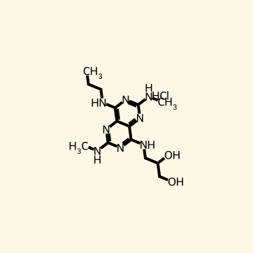 CCCNc1nc(NC)nc2c(NCC(O)CO)nc(NC)nc12.Cl